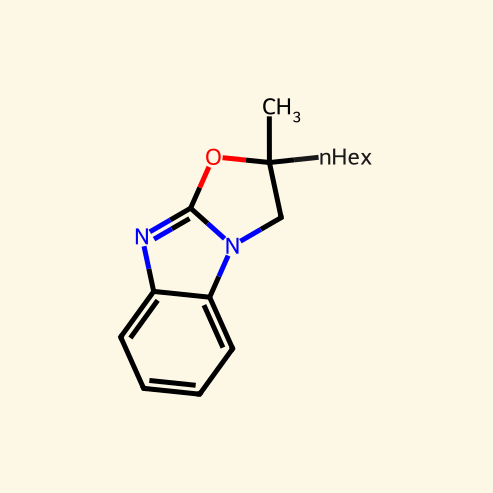 CCCCCCC1(C)Cn2c(nc3ccccc32)O1